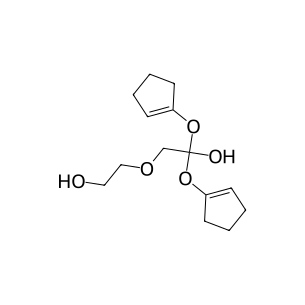 OCCOCC(O)(OC1=CCCC1)OC1=CCCC1